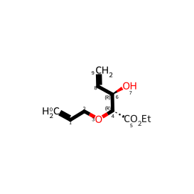 C=CCO[C@@H](C(=O)OCC)[C@H](O)C=C